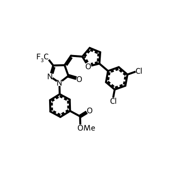 COC(=O)c1cccc(N2N=C(C(F)(F)F)C(=Cc3ccc(-c4cc(Cl)cc(Cl)c4)o3)C2=O)c1